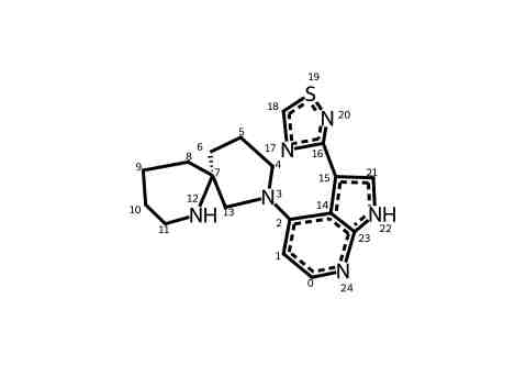 c1cc(N2CCC[C@]3(CCCCN3)C2)c2c(-c3ncsn3)c[nH]c2n1